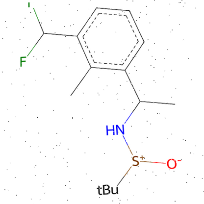 Cc1c(C(F)F)cccc1C(C)N[S+]([O-])C(C)(C)C